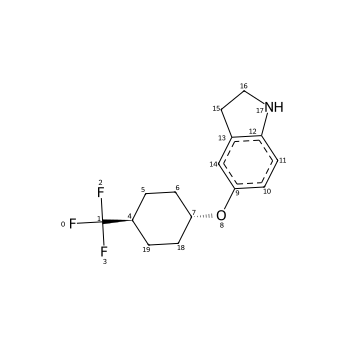 FC(F)(F)[C@H]1CC[C@H](Oc2ccc3c(c2)CCN3)CC1